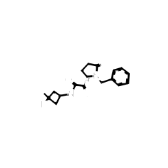 O=C(NC1CC(F)(F)C1)C(=O)[C@H]1CCC(=O)N1Cc1ccccc1